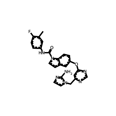 Cc1cc(NC(=O)n2ccc3cc(Oc4cc(Cn5ccnc5N)ncn4)ccc32)ccc1F